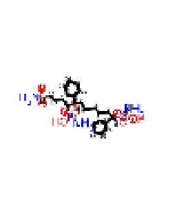 CC(CCCCCC(CCCCS(N)(=O)=O)(OP(N)(=O)O)c1ccccc1)(OP(N)(=O)O)c1ccccc1